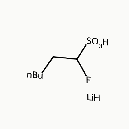 CCCCCC(F)S(=O)(=O)O.[LiH]